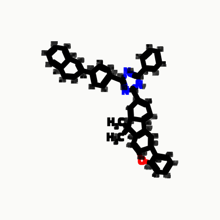 CC1(C)c2cc(-c3nc(-c4ccccc4)nc(-c4ccc(-c5ccc6ccccc6c5)cc4)n3)ccc2-c2cc3c(cc21)oc1ccccc13